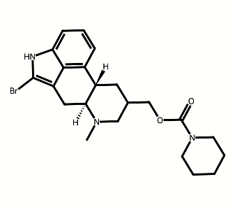 CN1CC(COC(=O)N2CCCCC2)C[C@H]2c3cccc4[nH]c(Br)c(c34)C[C@@H]21